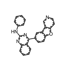 c1ccc(Nc2nc(-c3ccc4oc5ccncc5c4c3)c3ccccc3n2)cc1